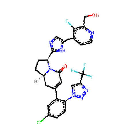 O=C1C=C(c2cc(Cl)ccc2-n2cc(C(F)(F)F)nn2)C[C@H]2CC[C@@H](c3ncc(-c4ccnc(CO)c4F)[nH]3)N12